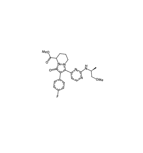 COC[C@H](C)Nc1nccc(-c2c(-c3ccc(F)cc3)c(=O)n3n2CCCC3C(=O)OC)n1